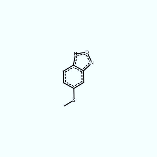 CSc1ccc2nonc2c1